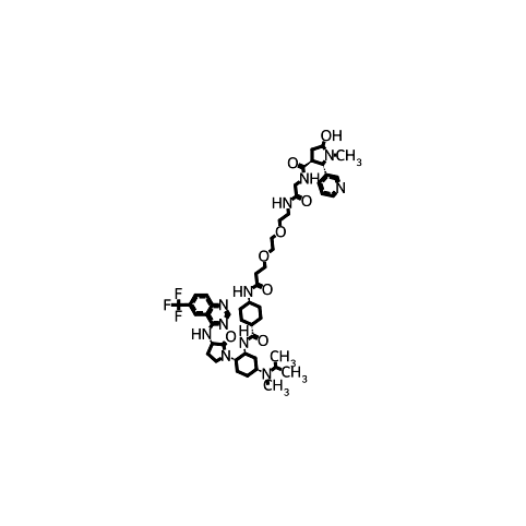 CC(C)N(C)[C@@H]1CC[C@H](N2CC[C@H](Nc3ncnc4ccc(C(F)(F)F)cc34)C2=O)[C@H](NC(=O)[C@H]2CC[C@@H](NC(=O)CCOCCOCCNC(=O)CNC(=O)[C@H]3CC(O)N(C)[C@@H]3c3cccnc3)CC2)C1